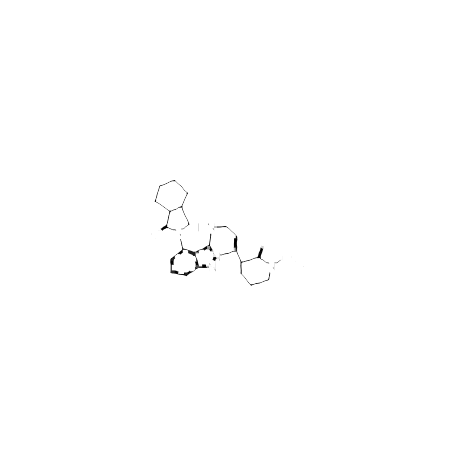 O=C(O)N1CCCC(C2=CCNc3c4c(N5CC6CCCCC6C5=O)cccc4nn32)C1=O